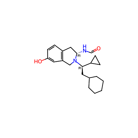 O=CN[C@H]1Cc2ccc(O)cc2CN1[C@H](CC1CCCCC1)C1CC1